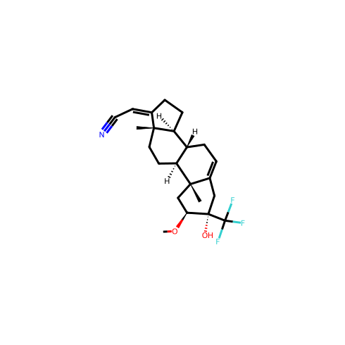 CO[C@H]1C[C@@]2(C)C(=CC[C@@H]3[C@@H]2CC[C@]2(C)/C(=C\C#N)CC[C@@H]32)C[C@@]1(O)C(F)(F)F